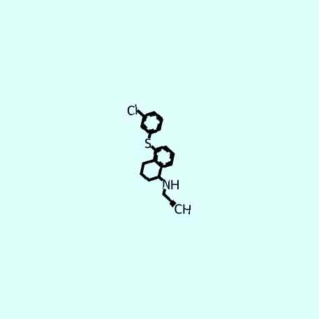 C#CCNC1CCCc2c(Sc3cccc(Cl)c3)cccc21